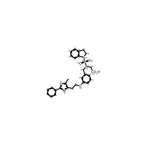 Cc1oc(-c2ccccc2)nc1CCOc1cccc(CN(CC(=O)O)S(=O)(=O)N2CCc3ccccc32)c1